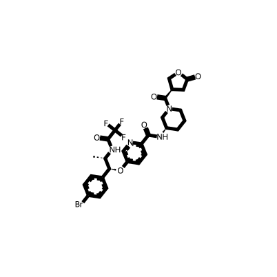 C[C@H](NC(=O)C(F)(F)F)[C@H](Oc1ccc(C(=O)N[C@H]2CCCN(C(=O)[C@H]3COC(=O)C3)C2)nc1)c1ccc(Br)cc1